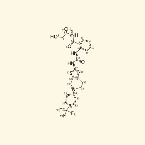 C[C@H](CO)NC(=O)c1ccccc1NC(=O)Nc1nc2c(s1)CN(c1ccc(C(F)(F)F)cc1)CC2